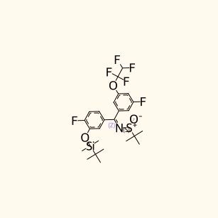 CC(C)(C)[S@@+]([O-])/N=C(\c1cc(F)cc(OC(F)(F)C(F)F)c1)c1ccc(F)c(O[Si](C)(C)C(C)(C)C)c1